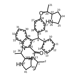 CC(C)NC(=O)c1c(C(c2ccccc2)c2ccc(OC(C)C3CCCN3)cc2)c2ccccc2n1C(C)C1CCCN1